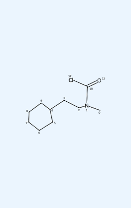 CN(CCC1CCCCC1)C(=O)Cl